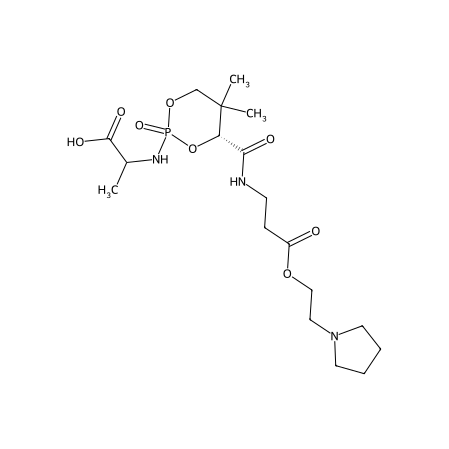 CC(NP1(=O)OCC(C)(C)[C@H](C(=O)NCCC(=O)OCCN2CCCC2)O1)C(=O)O